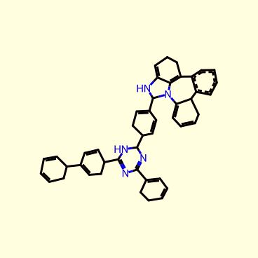 C1=CCCC(C2=NC(C3C=CC(C4NC5=CCCC6=C5N4C4=CC=CCC4c4ccccc46)=CC3)NC(C3C=CC(C4C=CC=CC4)=CC3)=N2)=C1